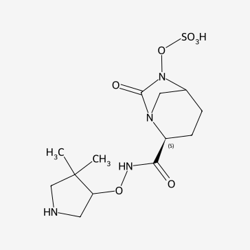 CC1(C)CNCC1ONC(=O)[C@@H]1CCC2CN1C(=O)N2OS(=O)(=O)O